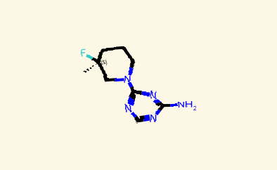 C[C@]1(F)CCCN(c2ncnc(N)n2)C1